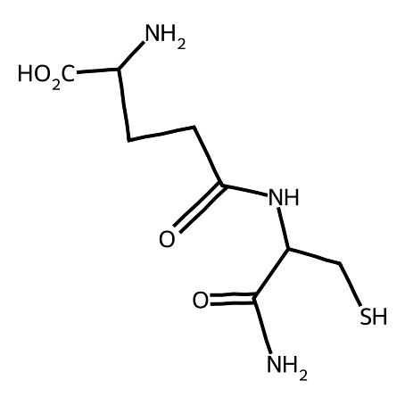 NC(=O)C(CS)NC(=O)CCC(N)C(=O)O